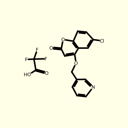 O=C(O)C(F)(F)F.O=c1cc(OCc2cccnc2)c2cc(Cl)ccc2o1